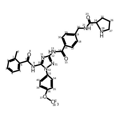 Cc1ccccc1C(=O)Nc1nc(NC(=O)c2ccc(CNC(=O)C3CCCN3)cc2)nn1-c1ccc(OC(F)(F)F)cc1